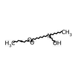 CCCCC#CCCCOC(=O)CCCCCCCCCN(CCCCO)CCCCCCCC